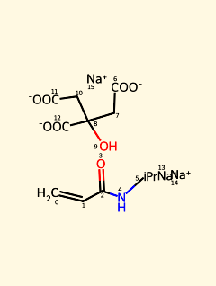 C=CC(=O)NC(C)C.O=C([O-])CC(O)(CC(=O)[O-])C(=O)[O-].[Na+].[Na+].[Na+]